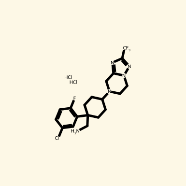 Cl.Cl.NCC1(c2cc(Cl)ccc2F)CCC(N2CCn3nc(C(F)(F)F)nc3C2)CC1